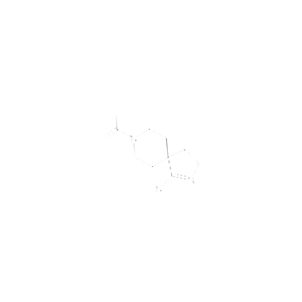 NC1=NCCC12CCN(C(=O)O)CC2